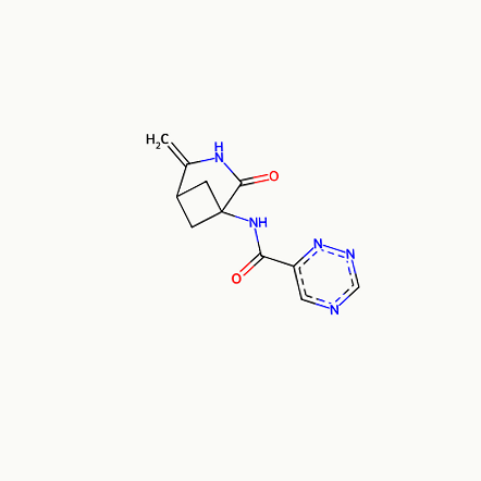 C=C1NC(=O)C2(NC(=O)c3cncnn3)CC1C2